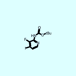 CC(C)(C)OC(=O)Nc1nccc(I)c1F